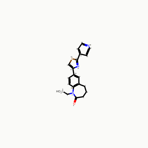 O=C(O)CN1C(=O)CCCc2cc(-c3csc(-c4ccncc4)n3)ccc21